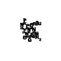 CCCCOc1nc(N)c2[nH]c(=O)c(=O)n(Cc3ccc(I)nc3)c2n1